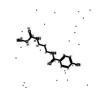 CCc1ccc(C(=O)NCCCNC(=O)OC(C)(C)C)cc1